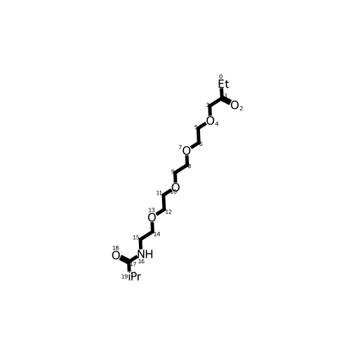 CCC(=O)COCCOCCOCCOCCNC(=O)C(C)C